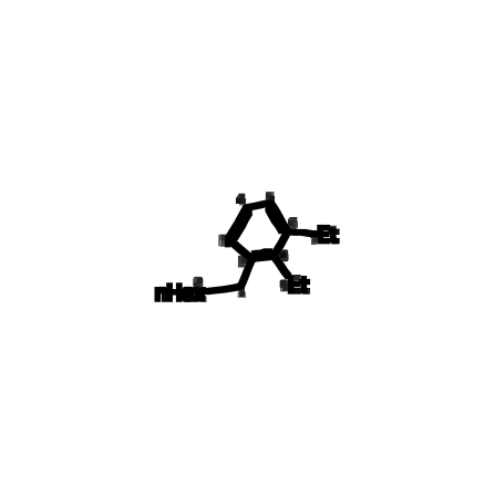 CCCCCCCc1[c]ccc(CC)c1CC